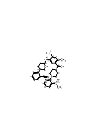 Cc1cc(C)c(C(=O)N2CCN(c3ncccc3[S@+](C)[O-])CC2)cc1NC1CCN(c2ccccc2C#N)CC1